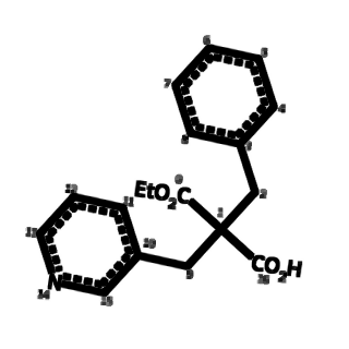 CCOC(=O)C(Cc1ccccc1)(Cc1cccnc1)C(=O)O